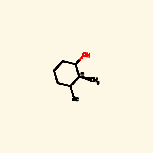 CC(=O)C1CCCC(O)[C@H]1C